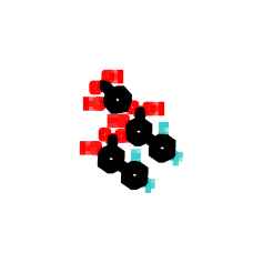 O=C(O)c1cc(-c2ccc(F)cc2F)ccc1O.O=C(O)c1cc(-c2ccc(F)cc2F)ccc1O.O=C(O)c1ccccc1O